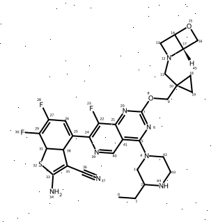 CCC1CN(c2nc(OCC3(CN4CC5OC[C@@H]54)CC3)nc3c(F)c(C4=CC(F)=C(F)C5SC(N)=C(C#N)C45)ncc23)CCN1